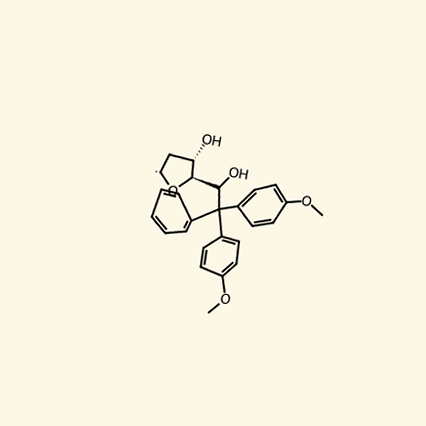 COc1ccc(C(c2ccccc2)(c2ccc(OC)cc2)C(O)[C@H]2O[CH]C[C@@H]2O)cc1